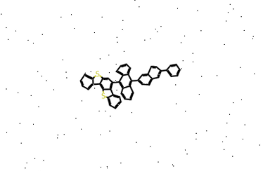 c1ccc(-c2ccc3cc(-c4c5ccccc5c(-c5cc6sc7ccccc7c6c6sc7ccccc7c56)c5ccccc45)ccc3c2)cc1